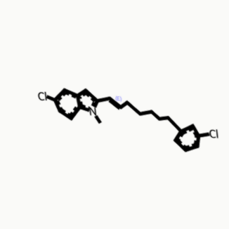 Cn1c(/C=C/CCCCCc2cccc(Cl)c2)cc2cc(Cl)ccc21